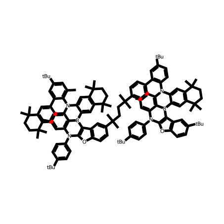 Cc1cc2c3c(c1)N(c1ccc(C(C)(C)C)cc1)c1oc4ccc(C(C)(C)C)cc4c1B3c1cc3c(cc1N2c1ccc(C(C)(C)C)cc1-c1ccc(C(C)(C)CCC(C)(C)c2ccc4oc5c(c4c2)B2c4cc6c(cc4N(c4c(C)cc(C(C)(C)C)cc4-c4ccc7c(c4)C(C)(C)CCC7(C)C)c4cc(C)cc(c42)N5c2ccc(C(C)(C)C)cc2)C(C)(C)CCC6(C)C)cc1)C(C)(C)CCC3(C)C